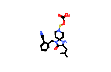 CC(C)CC1NC2(CCN(SOC(=O)O)CC2)N(Cc2ccccc2C#N)C1=O